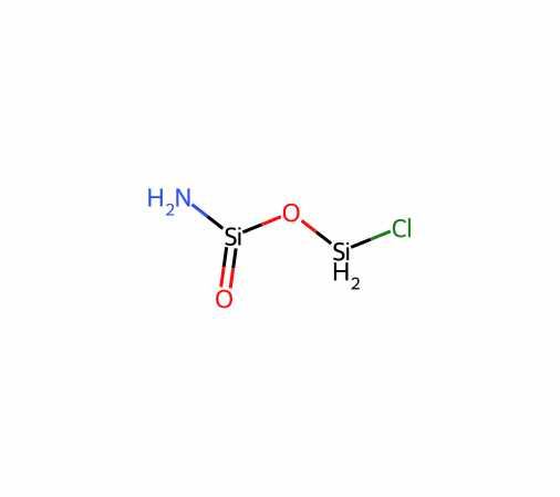 N[Si](=O)O[SiH2]Cl